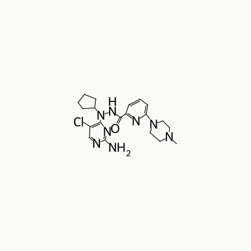 CN1CCN(c2cccc(C(=O)NN(c3nc(N)ncc3Cl)C3CCCC3)n2)CC1